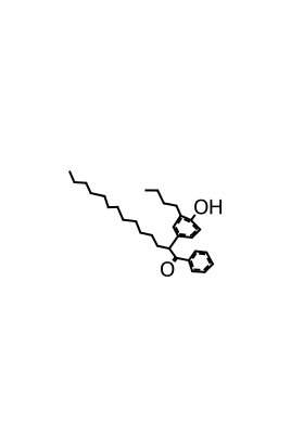 CCCCCCCCCCCCC(C(=O)c1ccccc1)c1ccc(O)c(CCCC)c1